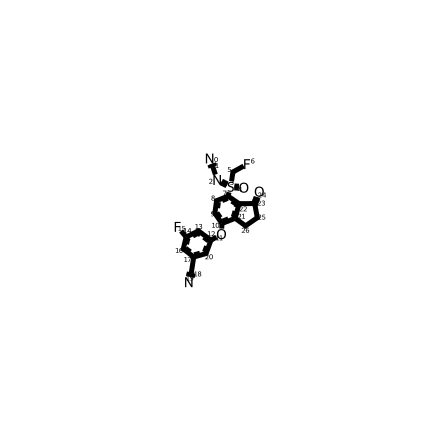 N#CN=S(=O)(CF)c1ccc(Oc2cc(F)cc(C#N)c2)c2c1C(=O)CC2